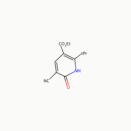 CCCc1[nH]c(=O)c(C#N)cc1C(=O)OCC